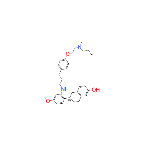 CCCCN(C)CCOc1ccc(CCCNc2cc(OC)ccc2[C@@H]2CCc3cc(O)ccc3C2)cc1